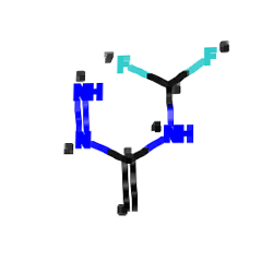 C=C(N=N)NC(F)F